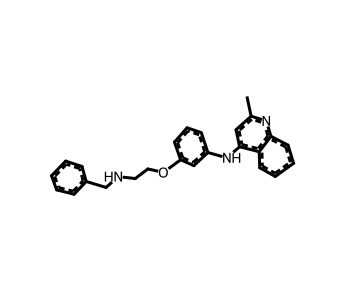 Cc1cc(Nc2cccc(OCCNCc3ccccc3)c2)c2ccccc2n1